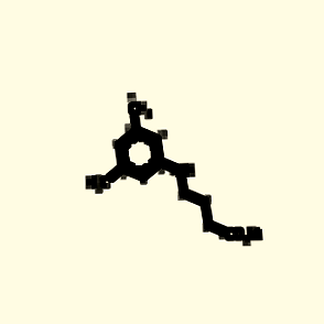 CCOC(=O)CCCNc1cc(C)cc(C)c1